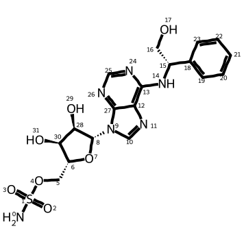 NS(=O)(=O)OC[C@H]1O[C@@H](n2cnc3c(N[C@H](CO)c4ccccc4)ncnc32)[C@H](O)[C@@H]1O